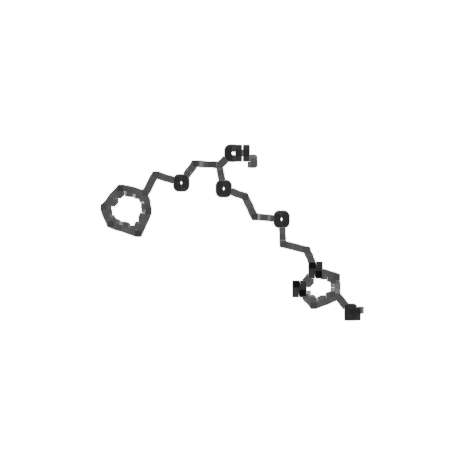 CC(COCc1ccccc1)OCCOCCn1cc(Br)cn1